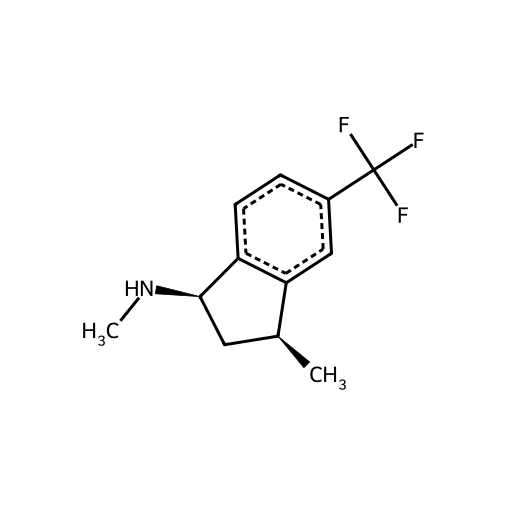 CN[C@@H]1C[C@H](C)c2cc(C(F)(F)F)ccc21